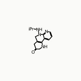 CC(C)NN1CC2=C(NCC(=O)C2)c2cccnc21